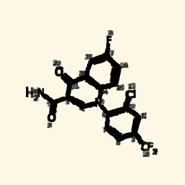 NC(=O)c1cn(-c2ccc(C(F)(F)F)cc2Cl)c2ccc(F)cc2c1=O